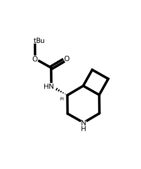 CC(C)(C)OC(=O)N[C@H]1CNCC2CCC21